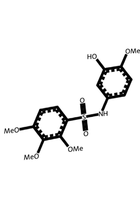 COc1ccc(NS(=O)(=O)c2ccc(OC)c(OC)c2OC)cc1O